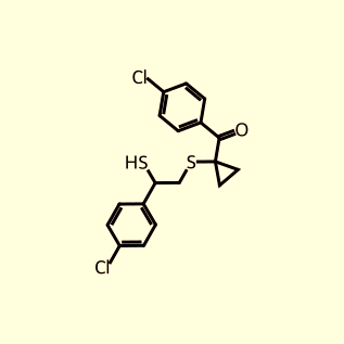 O=C(c1ccc(Cl)cc1)C1(SCC(S)c2ccc(Cl)cc2)CC1